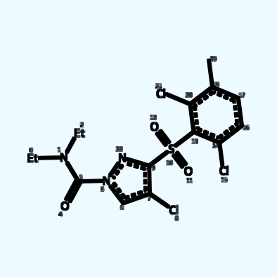 CCN(CC)C(=O)n1cc(Cl)c(S(=O)(=O)c2c(Cl)ccc(C)c2Cl)n1